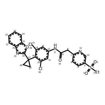 CCS(=O)(=O)c1ccc(CC(=O)Nc2cc(Cl)c(C3(c4nc5ccccc5o4)CC3)c(Cl)c2)nc1